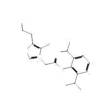 Cc1c(CCO)sc[n+]1CC(=O)Nc1c(C(C)C)cccc1C(C)C